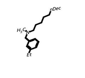 CCCCCCCCCCCCCCCN(C)Cc1cccc(CC)c1